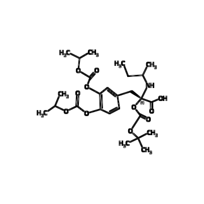 CCC(C)N[C@@](Cc1ccc(OC(=O)OC(C)C)c(OC(=O)OC(C)C)c1)(OC(=O)OC(C)(C)C)C(=O)O